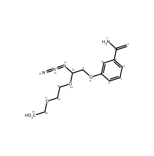 C=C(N)c1cccc(OCC(N=[N+]=[N-])OCCOCC(=O)O)c1